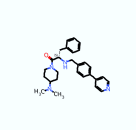 CN(C)C1CCN(C(=O)[C@H](Cc2ccccc2)NCc2ccc(-c3ccncc3)cc2)CC1